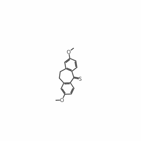 COc1ccc2c(c1)CCc1cc(OC)ccc1C2=S